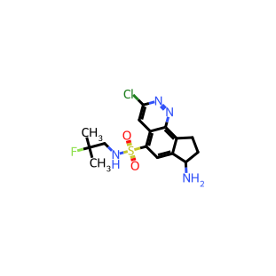 CC(C)(F)CNS(=O)(=O)c1cc2c(c3nnc(Cl)cc13)CCC2N